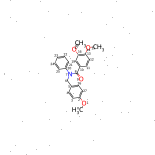 COc1ccc(CN(C(=O)c2ccc(OC)c(OC)c2)c2ccccc2)cc1